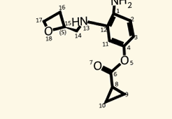 Nc1ccc(OC(=O)C2CC2)cc1NC[C@@H]1CCO1